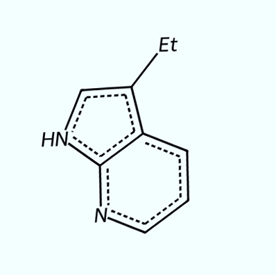 CCc1c[nH]c2ncccc12